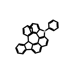 c1ccc(C2c3ccccc3-c3ccc4ccc5c(c6ccccc6n5-c5ccccc5)c4c32)cc1